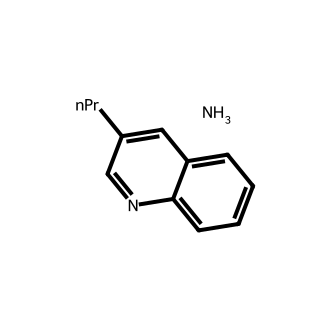 CCCc1cnc2ccccc2c1.N